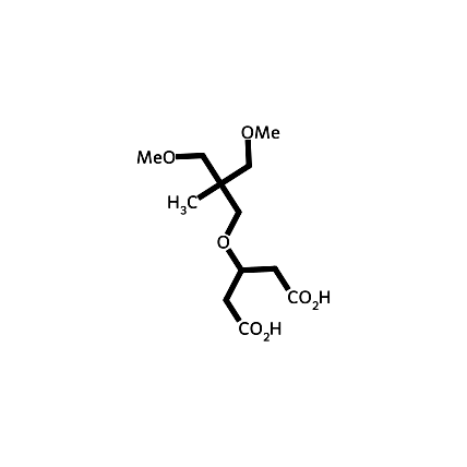 COCC(C)(COC)COC(CC(=O)O)CC(=O)O